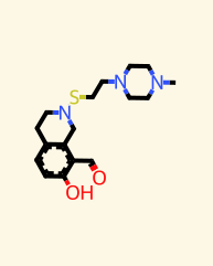 CN1CCN(CCSN2CCc3ccc(O)c(C=O)c3C2)CC1